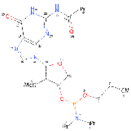 COC1C(OP(OCCC#N)N(C(C)C)C(C)C)COC1n1cnc2c(=O)[nH]c(NC(=O)C(C)C)nc21